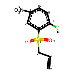 C=CCS(=O)(=O)c1cc([N+](=O)[O-])ccc1Cl